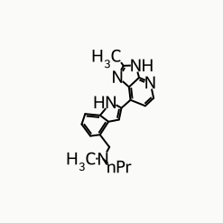 CCCN(C)Cc1cccc2[nH]c(-c3ccnc4[nH]c(C)nc34)cc12